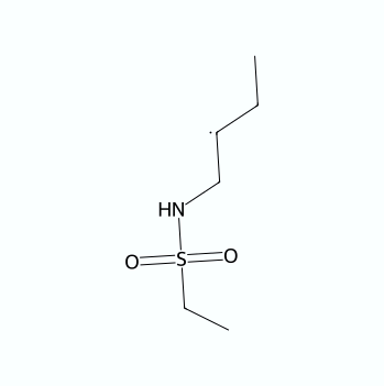 CC[CH]CNS(=O)(=O)CC